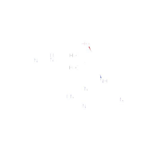 CC1(C)C[C@H](Nc2nc(NCCc3c[nH]c4ncccc34)ncc2C#N)CC[C@@H]1O